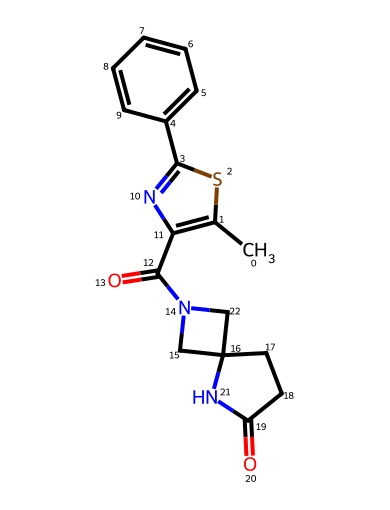 Cc1sc(-c2ccccc2)nc1C(=O)N1CC2(CCC(=O)N2)C1